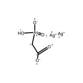 O=C([O-])C[As](=O)([O-])O.[Ag+].[Ag+]